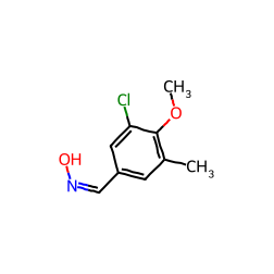 COc1c(C)cc(/C=N\O)cc1Cl